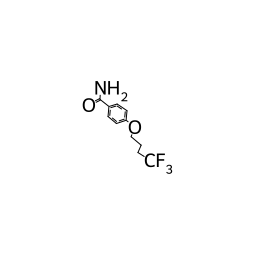 NC(=O)c1ccc(OCCCC(F)(F)F)cc1